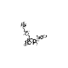 CCc1cc2c(cc1OC(=O)N1CC3COCC3C1)C[C@@H](CCC(C)CC(C)[S+]([O-])CCCC(F)(F)C(F)(F)F)[C@@H]1[C@@H]2CC[C@]2(C)C(=O)CC[C@@H]12